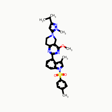 COc1nc(-c2cccc3c2c(C)cn3S(=O)(=O)c2ccc(C)cc2)nc2c1CN(c1cc(C(C)C)nn1C)CC2